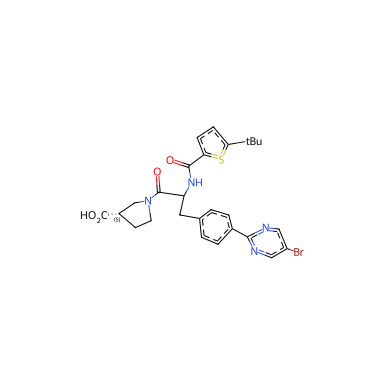 CC(C)(C)c1ccc(C(=O)NC(Cc2ccc(-c3ncc(Br)cn3)cc2)C(=O)N2CC[C@H](C(=O)O)C2)s1